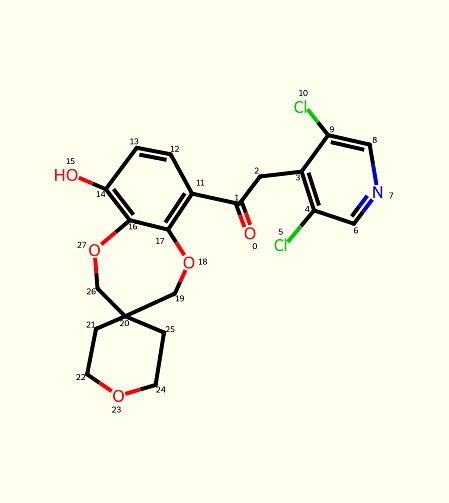 O=C(Cc1c(Cl)cncc1Cl)c1ccc(O)c2c1OCC1(CCOCC1)CO2